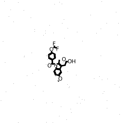 COc1ccc2c(c1)c(CC(=O)O)c(C)n2C(=O)c1ccc(OC(F)F)cc1